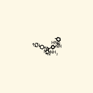 Cc1cccc2nc(Nc3ccc(-c4cn(C5CCC(N6CCN(C)CC6)CC5)c5ncnc(N)c45)cc3)[nH]c12